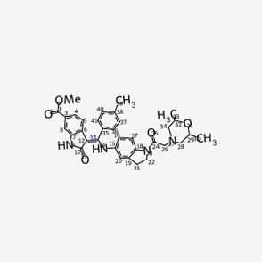 COC(=O)c1ccc2c(c1)NC(=O)/C2=C(\Nc1ccc2c(c1)CCN2C(=O)CN1CC(C)OC(C)C1)c1ccc(C)cc1